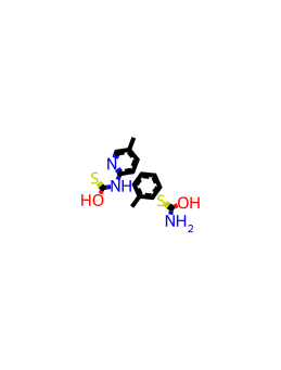 Cc1ccc(NC(O)=S)nc1.Cc1ccccc1.NC(O)=S